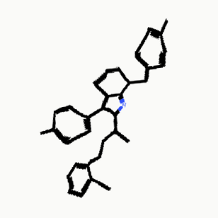 Cc1ccc(CC2CCCC3C2=NC(C(C)CCc2ccccc2C)C3c2ccc(C)cc2)cc1